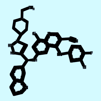 CCN1CCC(N2C=C([C@@H](Nc3cc(Cl)c4ncc(C#N)c(Nc5ccc(F)c(Cl)c5)c4c3)c3ccc4cccnc4c3)NN2)CC1